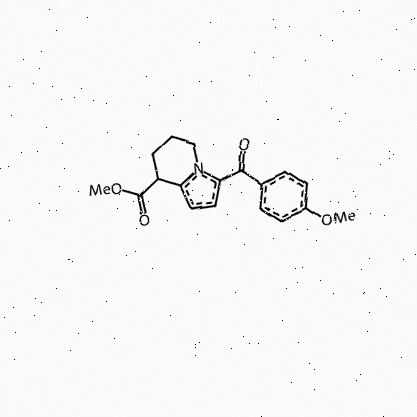 COC(=O)C1CCCn2c(C(=O)c3ccc(OC)cc3)ccc21